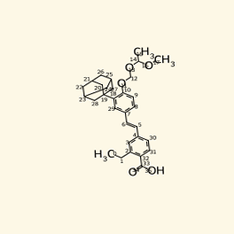 CCc1cc(/C=C/c2ccc(OCOC(C)OC)c(C34CC5CC(CC(C5)C3)C4)c2)ccc1C(=O)O